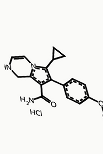 COc1ccc(-c2c(C(N)=O)c3n(c2C2CC2)C=CNC3)cc1.Cl